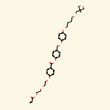 C=CC(=O)OCCOCCOc1ccc(C(=O)Oc2ccc(COc3ccc(OCCCCOCC4(C)COC4)cc3)cc2)cc1